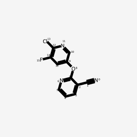 N#Cc1cccnc1Oc1cnc(Cl)c(F)c1